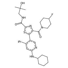 CC(C)c1cc(NC2CCCCC2)ncc1-c1sc(C(=O)NCC(C)(C)O)nc1C(=O)N1CCC(F)CC1